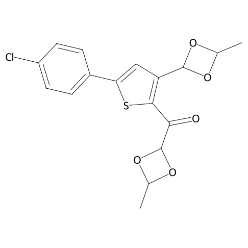 CC1OC(C(=O)c2sc(-c3ccc(Cl)cc3)cc2C2OC(C)O2)O1